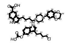 O=C(O)Oc1ccc2[nH]cc(CCCCCl)c2c1.O=C(O)c1ccc2[nH]cc(CCCCN3CCN(c4ccc5c(c4)OCCO5)CC3)c2c1